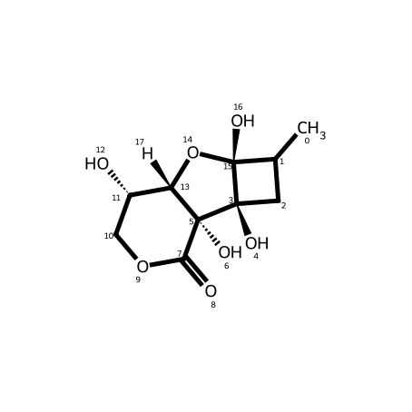 CC1C[C@]2(O)[C@@]3(O)C(=O)OC[C@H](O)[C@@H]3O[C@]12O